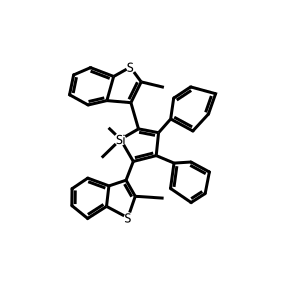 Cc1sc2ccccc2c1C1=C(c2ccccc2)C(c2ccccc2)=C(c2c(C)sc3ccccc23)[Si]1(C)C